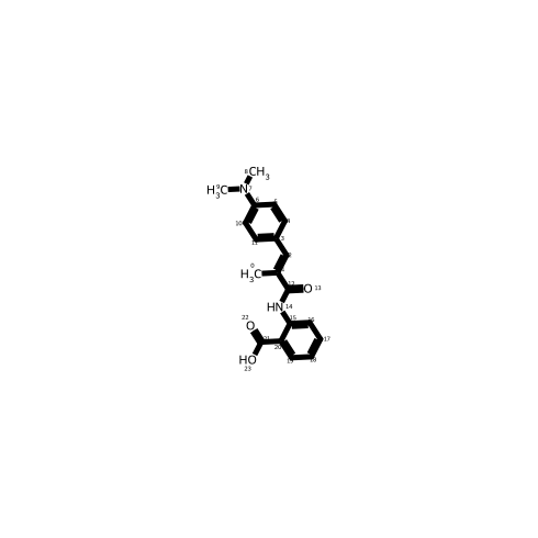 C/C(=C\c1ccc(N(C)C)cc1)C(=O)Nc1ccccc1C(=O)O